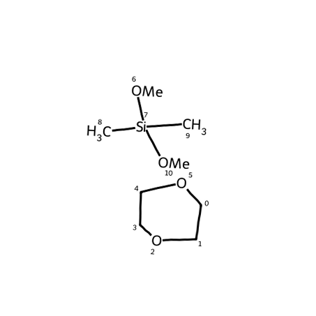 C1COCCO1.CO[Si](C)(C)OC